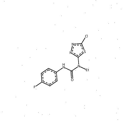 CCN(C(=O)Nc1ccc(F)cc1)c1nnc(Cl)s1